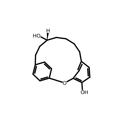 Oc1ccc2cc1Oc1ccc(cc1)CC[C@H](O)CCCC2